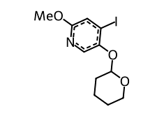 COc1cc(I)c(OC2CCCCO2)cn1